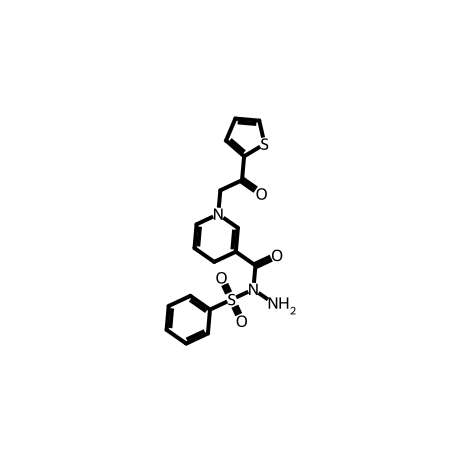 NN(C(=O)C1=CN(CC(=O)c2cccs2)C=CC1)S(=O)(=O)c1ccccc1